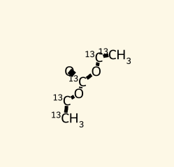 [13CH3][13CH2]O[13C](=O)O[13CH2][13CH3]